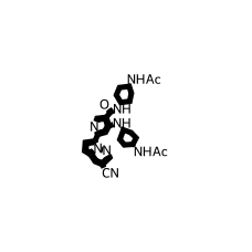 CC(=O)N[C@H]1CC[C@H](NC(=O)c2cnc(-c3ccc4cc(C#N)cnn34)cc2N[C@H]2CC[C@H](NC(C)=O)CC2)CC1